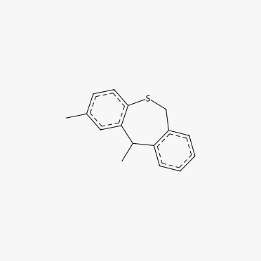 Cc1ccc2c(c1)C(C)c1ccccc1CS2